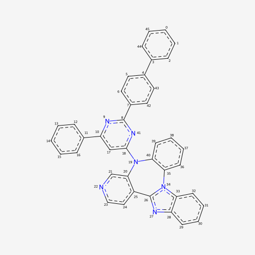 c1ccc(-c2ccc(-c3nc(-c4ccccc4)cc(N4c5cnccc5-c5nc6ccccc6n5-c5ccccc54)n3)cc2)cc1